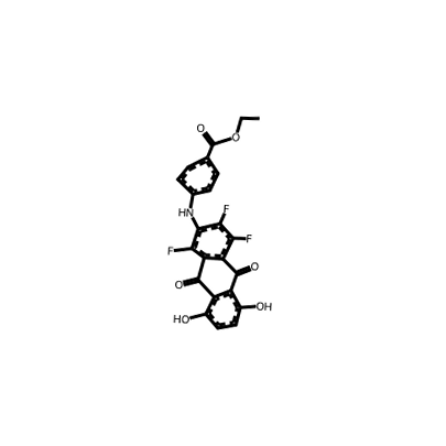 CCOC(=O)c1ccc(Nc2c(F)c(F)c3c(c2F)C(=O)c2c(O)ccc(O)c2C3=O)cc1